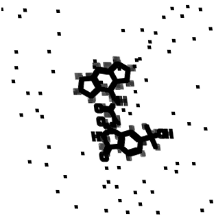 CC(C)(O)c1ccc2c(c1)S(=O)(=NC(=O)NC1C3=C(C=C4CCCC41)CCC3)NC2=O